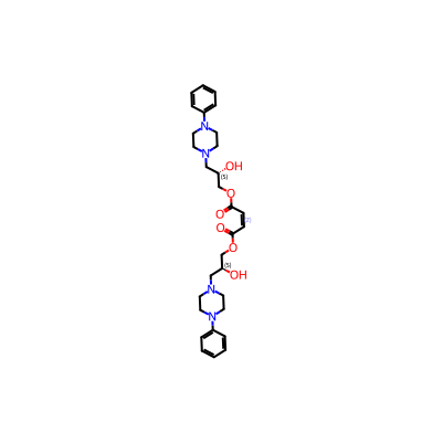 O=C(/C=C\C(=O)OC[C@@H](O)CN1CCN(c2ccccc2)CC1)OC[C@@H](O)CN1CCN(c2ccccc2)CC1